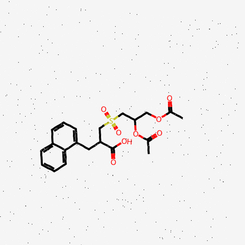 CC(=O)OCC(CS(=O)(=O)CC(Cc1cccc2ccccc12)C(=O)O)OC(C)=O